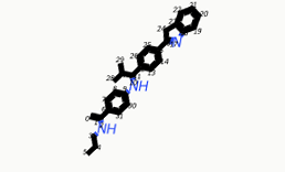 C=C(NCCC)c1ccc(NC(c2ccc(C3=Nc4ccccc4C3)cc2)C(C)C)cc1